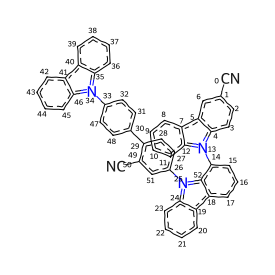 N#Cc1ccc2c(c1)c1ccccc1n2-c1cccc2c3ccccc3n(-c3ccc(-c4ccc(-n5c6ccccc6c6ccccc65)cc4)c(C#N)c3)c12